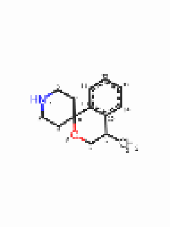 CC1COC2(CCNCC2)c2ccccc21